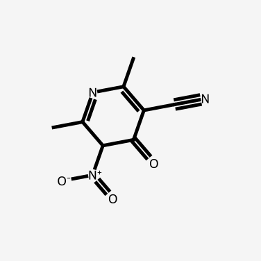 CC1=NC(C)=C(C#N)C(=O)C1[N+](=O)[O-]